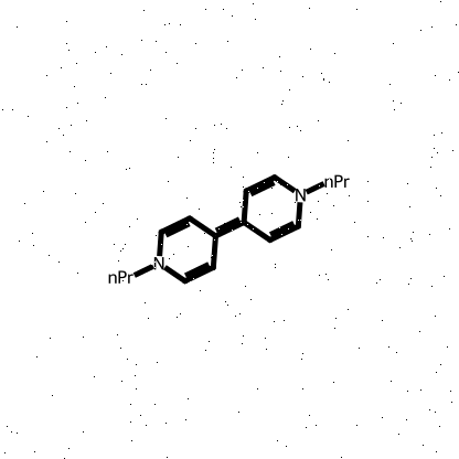 CCCN1C=CC(=C2C=CN(CCC)C=C2)C=C1